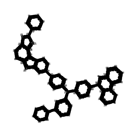 c1ccc(-c2cccc(N(c3ccc(-c4ccc5c(c4)oc4ccc6oc(-c7ccccc7)nc6c45)cc3)c3ccc(-c4cc5ccccc5c5ccccc45)cc3)c2)cc1